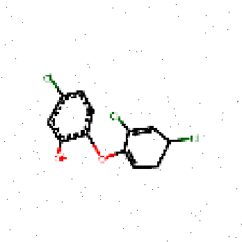 Oc1cc(Cl)ccc1OC1=CCC(Cl)C=C1Cl